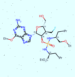 CCOC[C@H](CC(C)C)NP(=O)(N[C@@H](CC(C)C)C(=O)OCC)O[C@@H]1[C@H](CF)[C@@H](CO)O[C@H]1n1cnc2c(OCC)nc(N)nc21